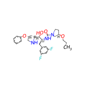 CCCO[C@@H]1CCN(C(=O)N[C@@H](Cc2cc(F)cc(F)c2)[C@H](O)[C@H]2C[C@@H](Oc3ccccc3)CN2)C1